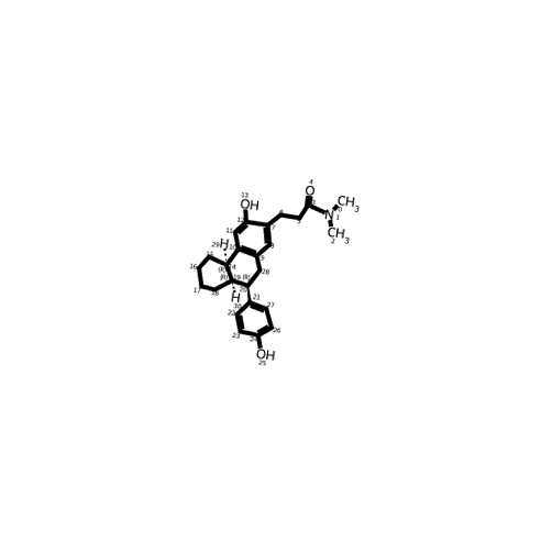 CN(C)C(=O)CCc1cc2c(cc1O)[C@@H]1CCCC[C@@H]1[C@H](c1ccc(O)cc1)C2